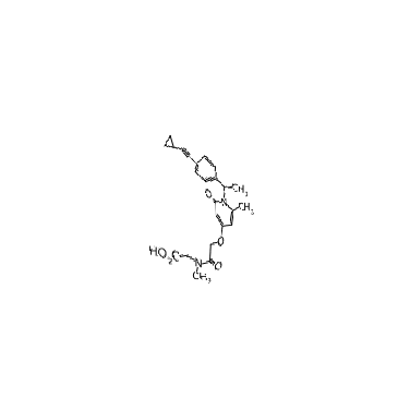 Cc1cc(OCC(=O)N(C)CC(=O)O)cc(=O)n1[C@H](C)c1ccc(C#CC2CC2)cc1